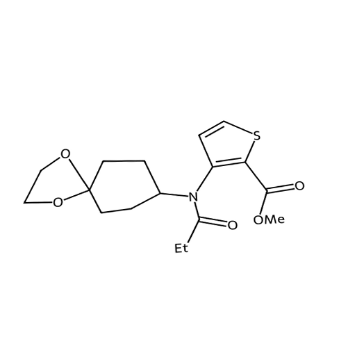 CCC(=O)N(c1ccsc1C(=O)OC)C1CCC2(CC1)OCCO2